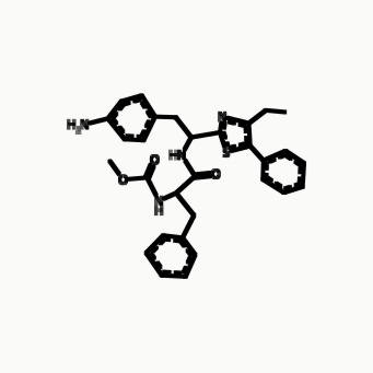 CCc1nc(C(Cc2ccc(N)cc2)NC(=O)C(Cc2ccccc2)NC(=O)OC)sc1-c1ccccc1